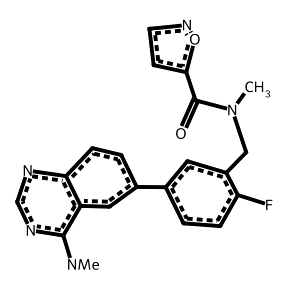 CNc1ncnc2ccc(-c3ccc(F)c(CN(C)C(=O)c4ccno4)c3)cc12